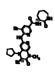 CCc1cc(C(=O)N[C@@H]2CCCCNC2=O)cnc1Nc1cc2c(cn1)N(C)C(=O)[C@@H](CC)N2C1CCCC1